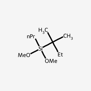 CCC[Si](OC)(OC)C(C)(C)CC